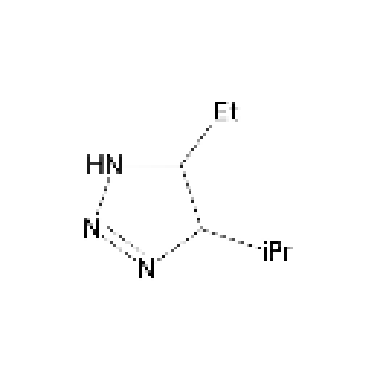 CCC1NN=NC1C(C)C